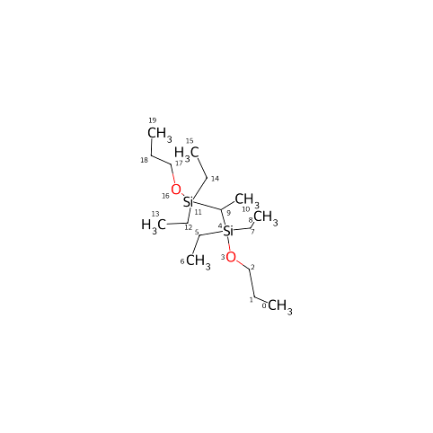 CCCO[Si](CC)(CC)C(C)[Si](CC)(CC)OCCC